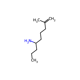 C=C(C)CCCC(N)CCC